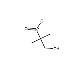 [CH2]C([CH2])(CO)[N+](=O)[O-]